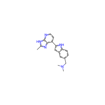 Cc1nc2c(-c3cc4cc(CN(C)C)ccc4[nH]3)ccnc2[nH]1